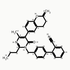 C=C1CCc2cc(-c3c(C)nc(CCC)n(Cc4ccc(-c5ccccc5C#N)cc4)c3=O)ccc2O1